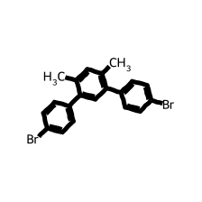 Cc1cc(C)c(-c2ccc(Br)cc2)cc1-c1ccc(Br)cc1